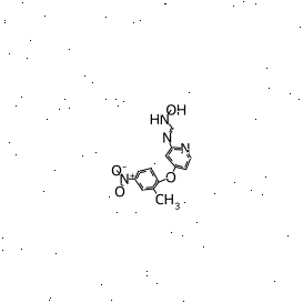 Cc1cc([N+](=O)[O-])ccc1Oc1ccnc(/N=C/NO)c1